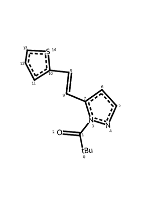 CC(C)(C)C(=O)n1nccc1C=Cc1cccs1